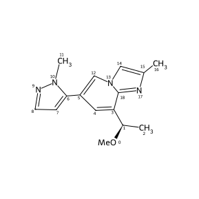 CO[C@H](C)c1cc(-c2ccnn2C)cn2cc(C)nc12